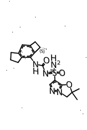 C[C@H]1Cc2cc3c(c(NC(=O)N=[S@@](N)(=O)c4cnn5c4OC(C)(C)C5)c21)CCC3